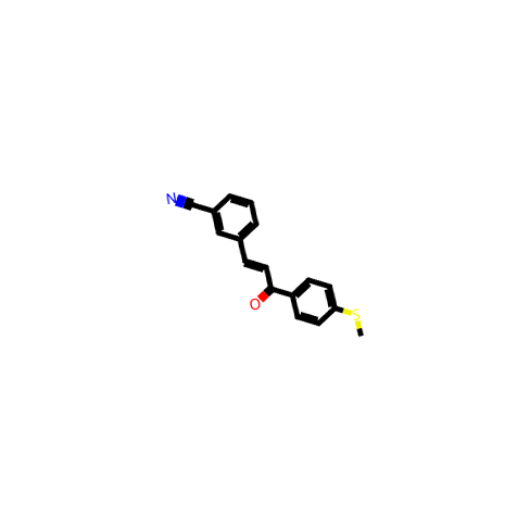 CSc1ccc(C(=O)/C=C/c2cccc(C#N)c2)cc1